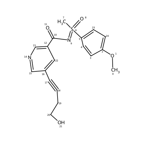 COc1ccc(S(C)(=O)=NC(=O)c2cncc(C#CCCO)c2)cc1